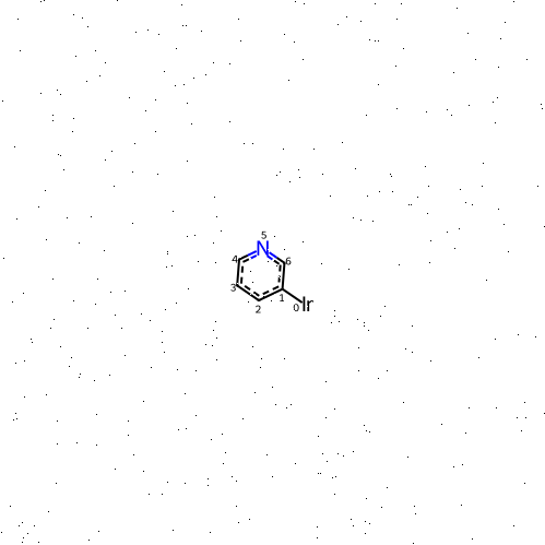 [Ir][c]1cccnc1